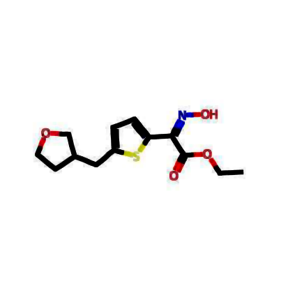 CCOC(=O)/C(=N\O)c1ccc(CC2CCOC2)s1